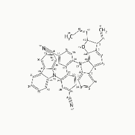 C=CC1c2ccc3c4ccccc4n(-c4ccc(C#N)cc4-c4ccc(C#N)cc4-n4c5ccccc5c5ccccc54)c3c2OC1/C=C\C